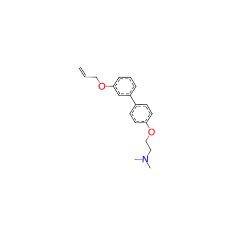 C=CCOc1cccc(-c2ccc(OCCN(C)C)cc2)c1